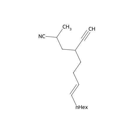 C#CC(CCC=CCCCCCC)CC(C)C#N